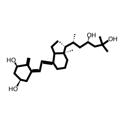 C=C1/C(=C\C=C2CCC[C@@]3(C)C2CC[C@@H]3[C@H](C)C[C@H](O)CC(C)(C)O)C[C@@H](O)C[C@H]1O